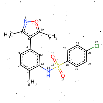 Cc1ccc(-c2c(C)noc2C)cc1NS(=O)(=O)c1ccc(Cl)cc1